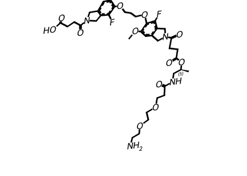 COc1cc2c(c(F)c1OCCCOc1c(OC)cc3c(c1F)CN(C(=O)CCC(=O)O[C@@H](C)CNC(=O)CCOCCOCCN)C3)CN(C(=O)CCC(=O)O)C2